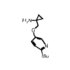 CC(C)(C)c1ccc(OCC2(N)CC2)cn1